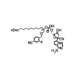 CCCCCCCCCCCCCCCCCCC[C@H](COCc1ccc(C#N)cc1F)OP(=O)(O)OC[C@H]1O[C@@](C#N)(c2ccc3c(N)ncnn23)C[C@@H]1O